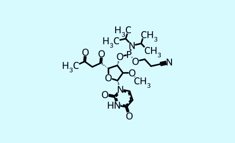 COC1[C@@H](OP(OCCC#N)N(C(C)C)C(C)C)[C@@H](C(=O)CC(C)=O)O[C@H]1n1ccc(=O)[nH]c1=O